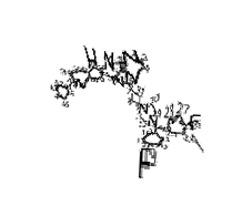 Nc1nccn2c(C3CC(N4CCN(C(c5ccc(F)cc5)c5ccc(F)cc5)CC4)C3)nc(-c3ccc4ccc(-c5ccccc5)nc4c3)c12